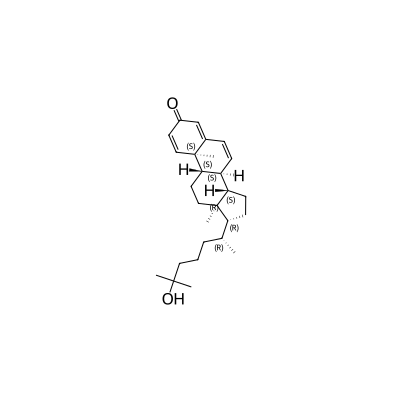 C[C@H](CCCC(C)(C)O)[C@H]1CC[C@H]2[C@@H]3C=CC4=CC(=O)C=C[C@]4(C)[C@H]3CC[C@]12C